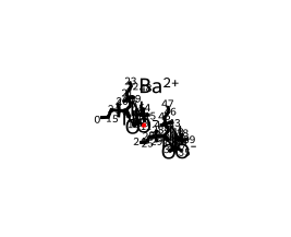 CCCC(C)(C)C1=NC(C(=O)[O-])(C(C)(C)C)N=C1C(C)(C)CCC.CCCC(C)(C)C1=NC(C(=O)[O-])(C(C)(C)C)N=C1C(C)(C)CCC.[Ba+2]